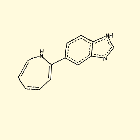 C1=CC=C(c2ccc3[nH]cnc3c2)NC=C1